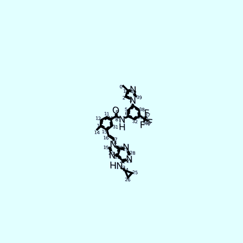 Cc1cn(-c2cc(NC(=O)c3ccc(C)c(C=Cn4cnc5c(NC6CC6)ncnc54)c3)cc(C(F)(F)F)c2)cn1